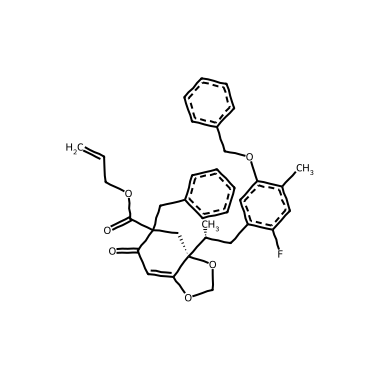 C=CCOC(=O)C1(Cc2ccccc2)C[C@]2([C@H](C)Cc3cc(OCc4ccccc4)c(C)cc3F)OCOC2=CC1=O